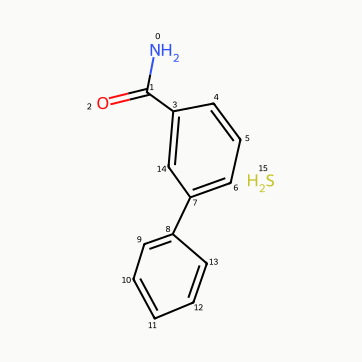 NC(=O)c1cccc(-c2ccccc2)c1.S